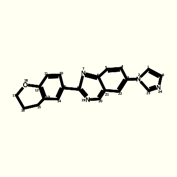 c1cn(-c2ccc3nc(-c4ccc5c(c4)CCCO5)ncc3c2)cn1